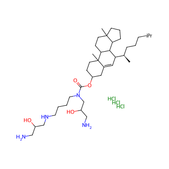 CC(C)CCC[C@@H](C)C1C=C2CC(OC(=O)N(CCCCNCC(O)CN)CC(O)CN)CCC2(C)C2CCC3(C)CCCC3C12.Cl.Cl.Cl